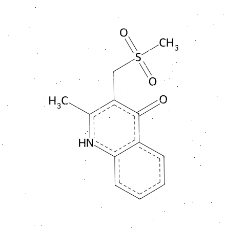 Cc1[nH]c2ccccc2c(=O)c1CS(C)(=O)=O